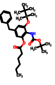 CCCCCC(=O)Oc1cc(Cc2ccccc2)cc(O[Si](C)(C)C(C)(C)C)c1NC(=O)OC(C)(C)C